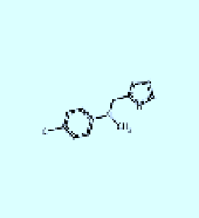 CN(Cc1cs[c]n1)c1ccc(Cl)cc1